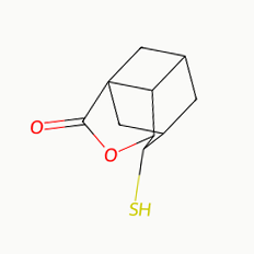 O=C1OC2C(S)C3CC4CC1(C3)C42